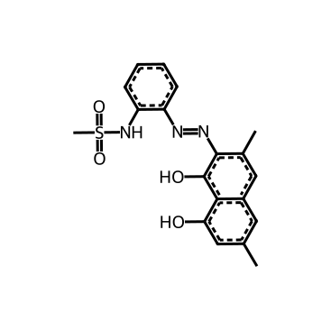 Cc1cc(O)c2c(O)c(N=Nc3ccccc3NS(C)(=O)=O)c(C)cc2c1